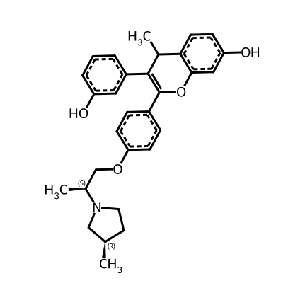 CC1C(c2cccc(O)c2)=C(c2ccc(OC[C@H](C)N3CC[C@@H](C)C3)cc2)Oc2cc(O)ccc21